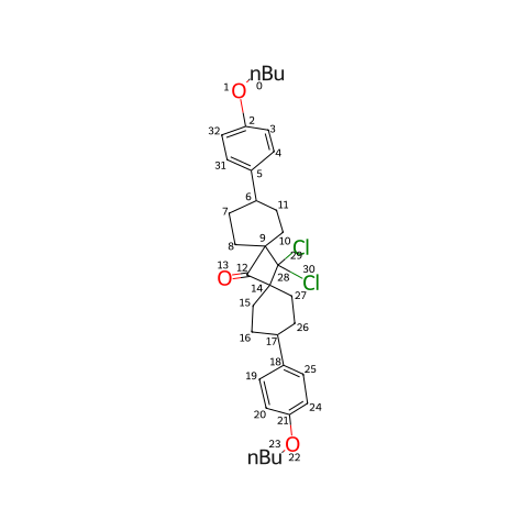 CCCCOc1ccc(C2CCC3(CC2)C(=O)C2(CCC(c4ccc(OCCCC)cc4)CC2)C3(Cl)Cl)cc1